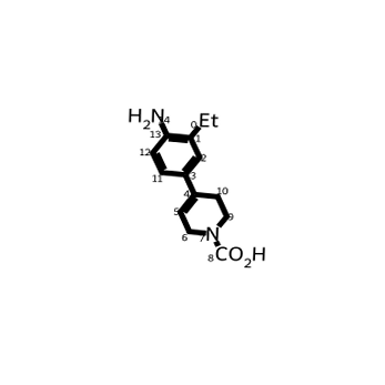 CCc1cc(C2=CCN(C(=O)O)CC2)ccc1N